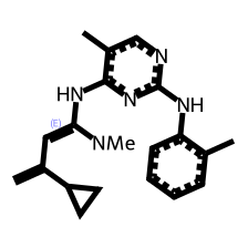 C=C(/C=C(\NC)Nc1nc(Nc2ccccc2C)ncc1C)C1CC1